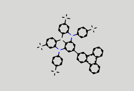 C[Si](C)(C)c1ccc(N2c3cc([Si](C)(C)C)ccc3B3c4ccc([Si](C)(C)C)cc4N(c4ccc([Si](C)(C)C)cc4)c4cc(-c5ccc6c7ccccc7c7ccccc7c6c5)cc2c43)cc1